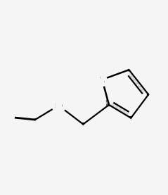 CCOCc1cccs1